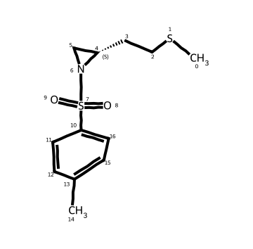 CSCC[C@H]1CN1S(=O)(=O)c1ccc(C)cc1